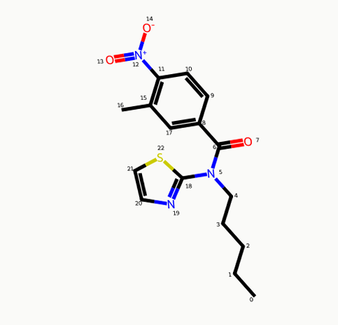 CCCCCN(C(=O)c1ccc([N+](=O)[O-])c(C)c1)c1nccs1